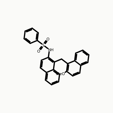 COc1ccc2ccccc2c1Cc1c(NS(=O)(=O)c2ccccc2)ccc2ccccc12